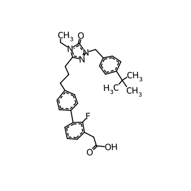 CCn1c(CCCc2ccc(-c3cccc(CC(=O)O)c3F)cc2)nn(Cc2ccc(C(C)(C)C)cc2)c1=O